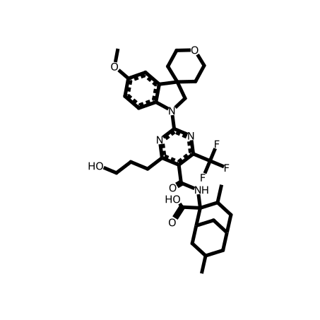 COc1ccc2c(c1)C1(CCOCC1)CN2c1nc(CCCO)c(C(=O)NC2(C(=O)O)C(C)CC3CC(C)CC2C3)c(C(F)(F)F)n1